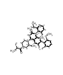 CSc1cccc(F)c1-c1nc2c(cc1F)c(N1CCN(C(=O)C(C)F)C[C@@H]1C)nc(=O)n2-c1c(C)ccnc1C(C)C